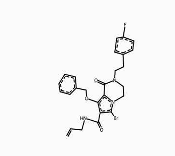 C=CCNC(=O)c1c(OCc2ccccc2)c2n(c1Br)CCN(CCc1ccc(F)cc1)C2=O